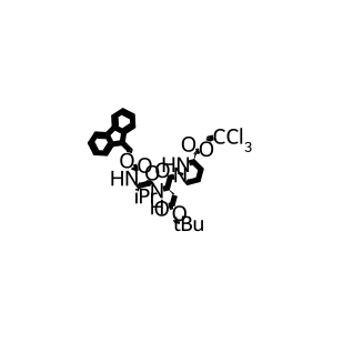 CC(C)[C@H](NC(=O)OCC1c2ccccc2-c2ccccc21)C(=O)N[C@@H](CC(=O)OC(C)(C)C)C(=O)N1CCC[C@@H](C(=O)OCC(Cl)(Cl)Cl)N1